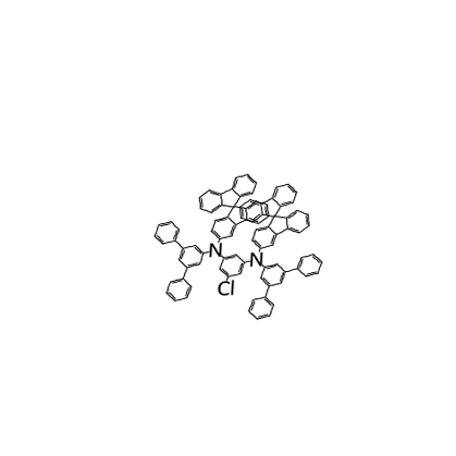 Clc1cc(N(c2cc(-c3ccccc3)cc(-c3ccccc3)c2)c2ccc3c(c2)-c2ccccc2C32c3ccccc3-c3ccccc32)cc(N(c2cc(-c3ccccc3)cc(-c3ccccc3)c2)c2ccc3c(c2)-c2ccccc2C32c3ccccc3-c3ccccc32)c1